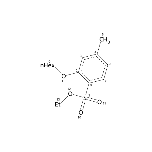 CCCCCCOc1cc(C)ccc1S(=O)(=O)OCC